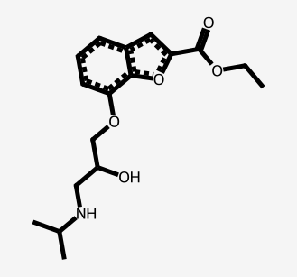 CCOC(=O)c1cc2cccc(OCC(O)CNC(C)C)c2o1